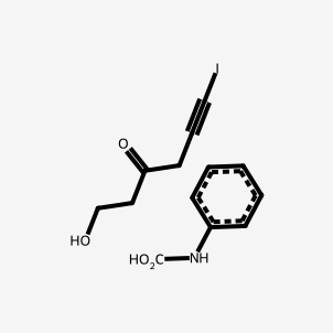 O=C(CC#CI)CCO.O=C(O)Nc1ccccc1